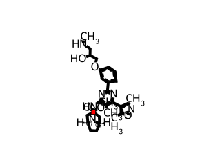 CNCC(O)COc1cccc(-c2nc(N[C@@H]3C[C@H]4CC[C@@H](C3)N4C(=O)OC)c(C)c(-c3c(C)noc3C)n2)c1